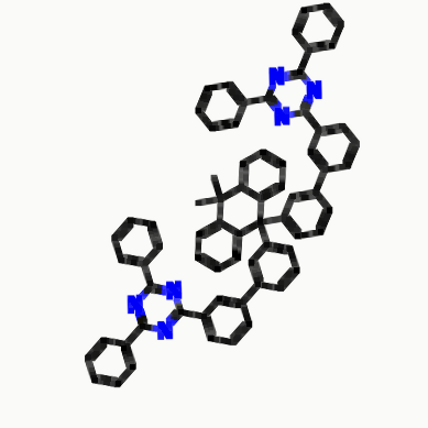 CC1(C)c2ccccc2C(c2cccc(-c3cccc(-c4nc(-c5ccccc5)nc(-c5ccccc5)n4)c3)c2)(c2cccc(-c3cccc(-c4nc(-c5ccccc5)nc(-c5ccccc5)n4)c3)c2)c2ccccc21